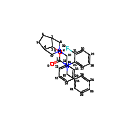 O=C(OC1C2CCC1CN(Cc1ccccc1)C2)N(Cc1ccccc1)c1ccccc1F